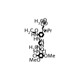 C=CC(=O)Nc1cc(N(CCC)CCOS(C)(=O)=O)ccc1Nc1cc(N(C)C(=O)Nc2c(Cl)c(OC)cc(OC)c2Cl)ncn1